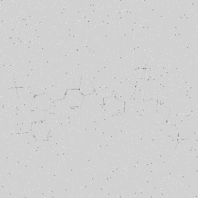 CC(C)(C)OC(=O)CN(c1ccc2c(c1)CCN2c1nccc(N(CC[N+](C)(C)CC(=O)OC(C)(C)C)C(=O)OC(C)(C)C)n1)S(=O)(=O)c1cc(Cl)cc(Cl)c1.[Br-]